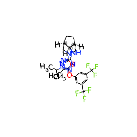 Cc1noc(N2C[C@H]3CC[C@@H](C2)[C@H]3Nc2nc(Oc3cc(C(F)(F)F)cc(C(F)(F)F)c3)n(C(C)C)n2)n1